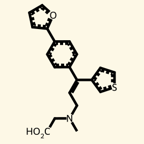 CN(CC=C(c1ccc(-c2ccco2)cc1)c1ccsc1)CC(=O)O